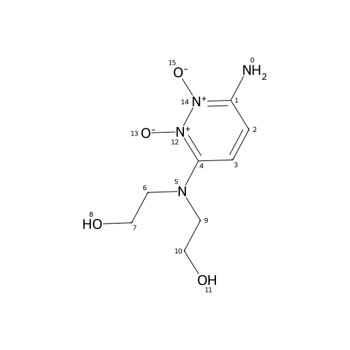 Nc1ccc(N(CCO)CCO)[n+]([O-])[n+]1[O-]